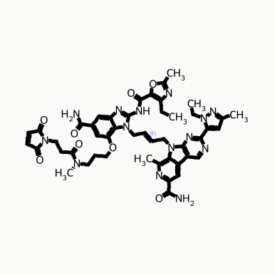 CCc1nc(C)oc1C(=O)Nc1nc2cc(C(N)=O)cc(OCCCN(C)C(=O)CCN3C(=O)C=CC3=O)c2n1C/C=C/Cn1c2nc(-c3cc(C)nn3CC)ncc2c2cc(C(N)=O)nc(C)c21